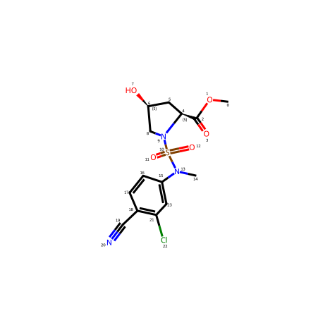 COC(=O)[C@@H]1C[C@H](O)CN1S(=O)(=O)N(C)c1ccc(C#N)c(Cl)c1